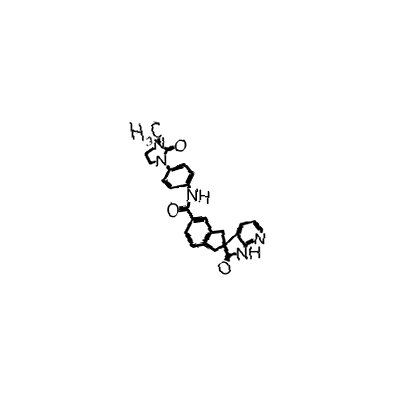 CN1CCN(c2ccc(NC(=O)c3ccc4c(c3)CC3(C4)C(=O)Nc4ncccc43)cc2)C1=O